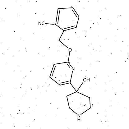 N#Cc1ccccc1COc1cccc(C2(O)CCNCC2)n1